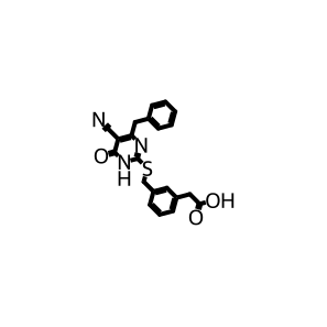 N#Cc1c(Cc2ccccc2)nc(SCc2cccc(CC(=O)O)c2)[nH]c1=O